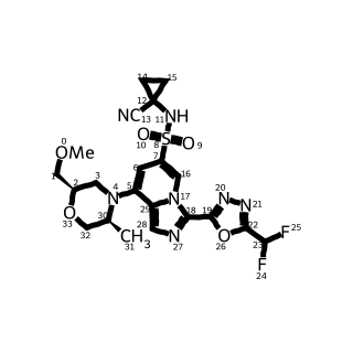 COC[C@H]1CN(c2cc(S(=O)(=O)NC3(C#N)CC3)cn3c(-c4nnc(C(F)F)o4)ncc23)[C@@H](C)CO1